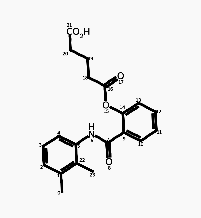 Cc1cccc(NC(=O)c2ccccc2OC(=O)CCCC(=O)O)c1C